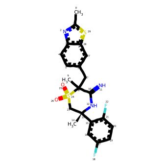 Cc1nc2ccc(CC3(C)C(=N)N[C@](C)(c4cc(F)ccc4F)CS3(=O)=O)cc2s1